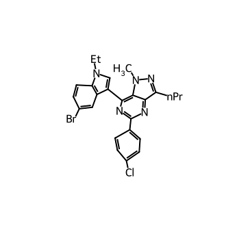 CCCc1nn(C)c2c(-c3cn(CC)c4ccc(Br)cc34)nc(-c3ccc(Cl)cc3)nc12